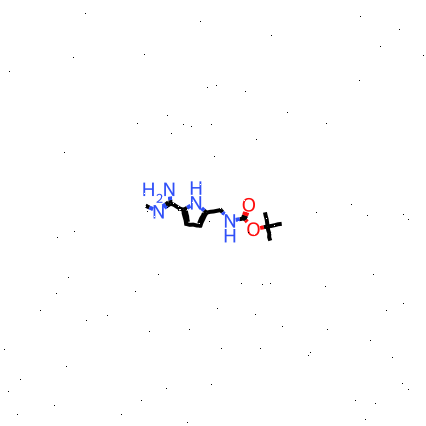 CN=C(N)c1ccc(CNC(=O)OC(C)(C)C)[nH]1